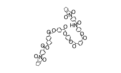 O=C(COc1ccc(OCC(=O)c2cccc(C(=O)COc3ccc(NC(=O)c4ccc(N5C(=O)C6C7CCC(C7)C6C5=O)cc4)cc3)c2)cc1)c1ccc(OCC(=O)c2ccc3cc(OC(=O)c4ccc(N5C(=O)C6C7CCC(C7)C6C5=O)cc4)ccc3c2)cc1